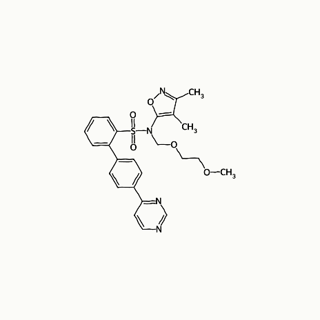 COCCOCN(c1onc(C)c1C)S(=O)(=O)c1ccccc1-c1ccc(-c2ccncn2)cc1